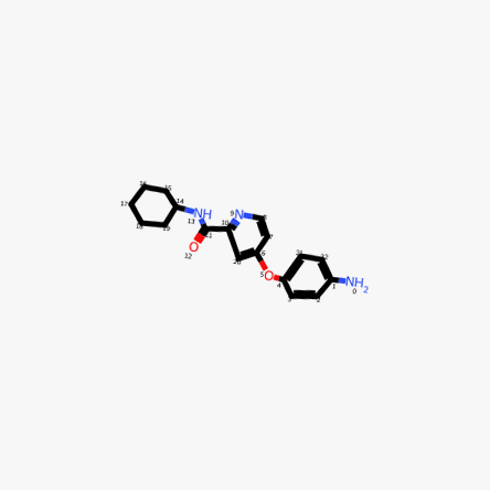 Nc1ccc(Oc2ccnc(C(=O)NC3CCCCC3)c2)cc1